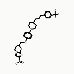 O=[N+]([O-])c1cn2c(n1)OC(COc1ccc(N3CCC(CCCc4ccc(C(F)(F)F)cc4)CC3)cc1)CC2